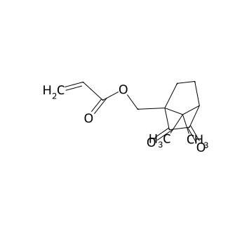 C=CC(=O)OCC12CCC(C(=O)C1=O)C2(C)C